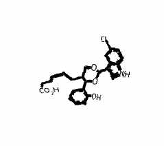 O=C(O)CC/C=C\CC1COC(c2c[nH]c3ccc(Cl)cc23)OC1c1ccccc1O